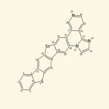 c1ccc2c(c1)sc1cc3c(cc12)sc1cc2c4cnccc4c4nccn4c2cc13